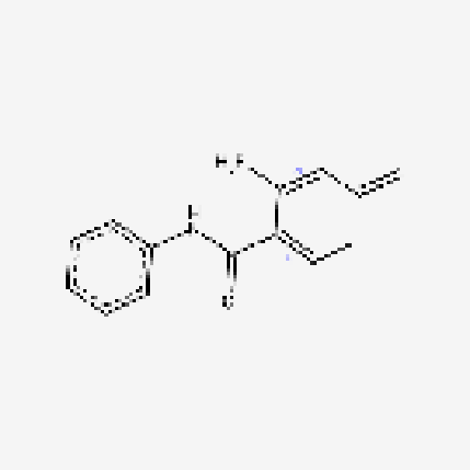 BC(=C/C=C)/C(=C\C)C(=O)Nc1ccccc1